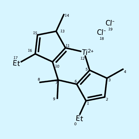 CCC1=CC(C)[C]2=C1C(C)(C)C1=[C]([Ti+2]2)C(C)C=C1CC.[Cl-].[Cl-]